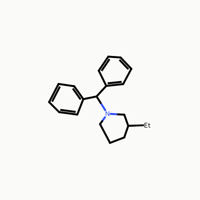 CCC1CCCN(C(c2ccccc2)c2ccccc2)C1